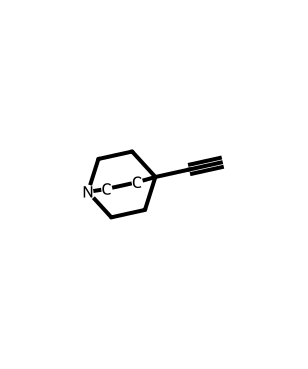 C#CC12CCN(CC1)CC2